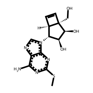 CSc1nc(N)c2ncn([C@H]3[C@H](O)[C@H](O)[C@]4(CO)C=C[C@H]34)c2n1